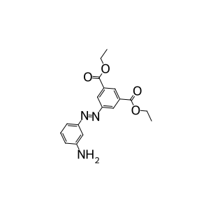 CCOC(=O)c1cc(N=Nc2cccc(N)c2)cc(C(=O)OCC)c1